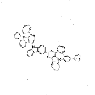 c1ccc(-c2ccc3c(c2)-c2ccccc2-c2cc(-c4ccc5c(c4)c4ccccc4n5-c4ccc5c(c4)C(c4ccccc4)(c4ccccc4)c4ccccc4-5)cc4c5ccccc5n-3c24)cc1